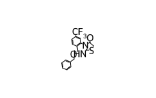 N=C1SCC(=O)N1c1cc(C(F)(F)F)ccc1COCc1ccccc1